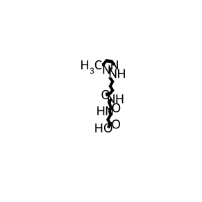 Cc1ccnc(NCCCCC(=O)NCC(=O)NCCC(=O)O)n1